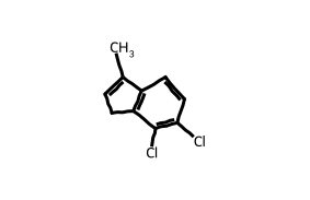 CC1=CCc2c1ccc(Cl)c2Cl